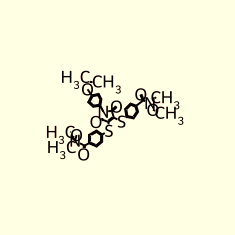 CON(C)C(=O)c1ccc(SC2=C(Sc3ccc(C(=O)N(C)OC)cc3)C(=O)N(c3ccc(OC(C)C)cc3)C2=O)cc1